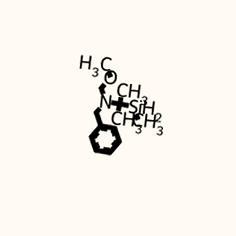 COCN(Cc1ccccc1)C(C)(C)[SiH2]C